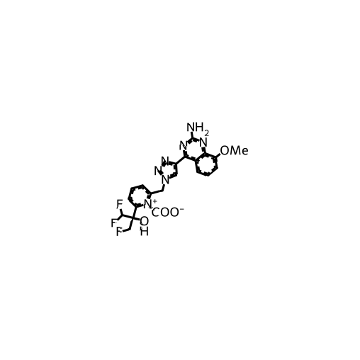 COc1cccc2c(-c3cn(Cc4cccc(C(O)(CF)C(F)F)[n+]4C(=O)[O-])nn3)nc(N)nc12